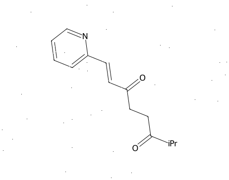 CC(C)C(=O)CCC(=O)/C=C/c1ccccn1